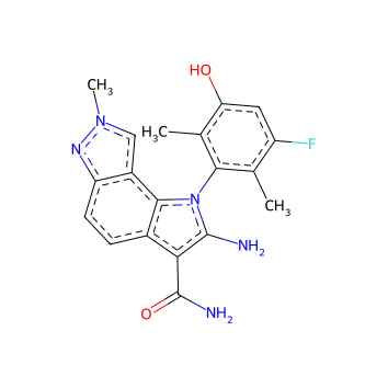 Cc1c(O)cc(F)c(C)c1-n1c(N)c(C(N)=O)c2ccc3nn(C)cc3c21